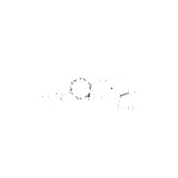 CC(C)(C)C(=O)C(C)(C)Oc1ccc([N+](=O)[O-])cc1